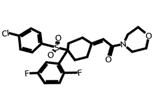 O=C(C=C1CCC(c2cc(F)ccc2F)(S(=O)(=O)c2ccc(Cl)cc2)CC1)N1CCOCC1